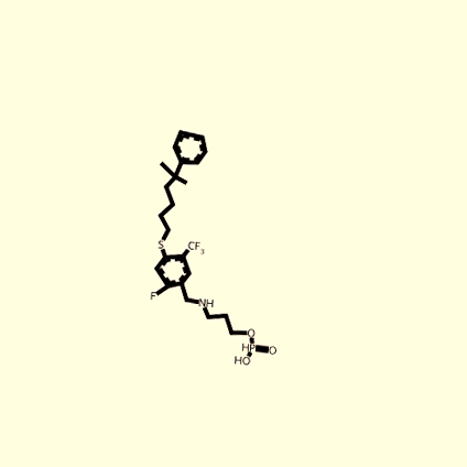 CC(C)(CCCCSc1cc(F)c(CNCCCO[PH](=O)O)cc1C(F)(F)F)c1ccccc1